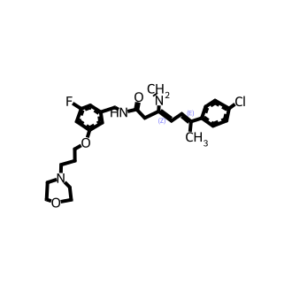 C=N/C(=C\C=C(/C)c1ccc(Cl)cc1)CC(=O)NCc1cc(F)cc(OCCCN2CCOCC2)c1